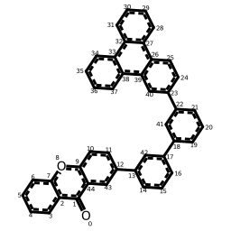 O=c1c2ccccc2oc2ccc(-c3cccc(-c4cccc(-c5ccc6c7ccccc7c7ccccc7c6c5)c4)c3)cc12